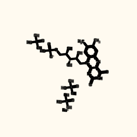 Cc1cc2nc3c(=O)[nH]c(=O)nc-3n(C[C@H](O)[C@H](O)[C@H](O)COP(=O)([O-])O)c2cc1C.O=P(O)(O)O.O=P(O)(O)O.O=P(O)(O)O.[Na+]